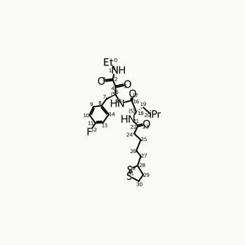 CCNC(=O)C(=O)[C@H](Cc1ccc(F)cc1)NC(=O)[C@H](CC(C)C)NC(=O)CCCCC1CCSS1